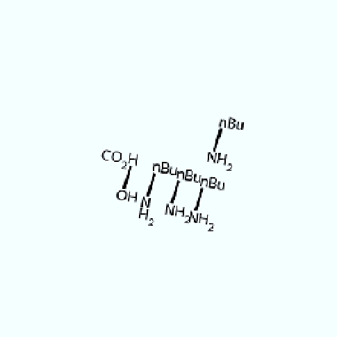 CCCCN.CCCCN.CCCCN.CCCCN.O=C(O)O